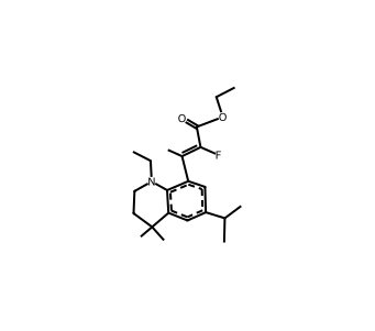 CCOC(=O)C(F)=C(C)c1cc(C(C)C)cc2c1N(CC)CCC2(C)C